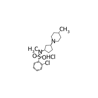 CC1CCN([C@H]2CC[C@@H](N(C)S(=O)(=O)c3ccccc3Cl)C2)CC1.Cl